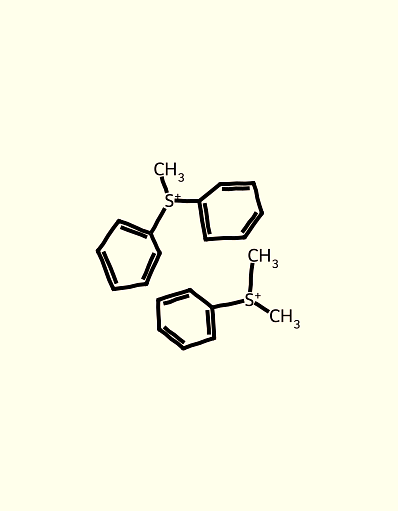 C[S+](C)c1ccccc1.C[S+](c1ccccc1)c1ccccc1